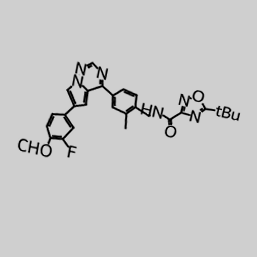 Cc1cc(-c2ncnn3cc(-c4ccc(C=O)c(F)c4)cc23)ccc1CNC(=O)c1noc(C(C)(C)C)n1